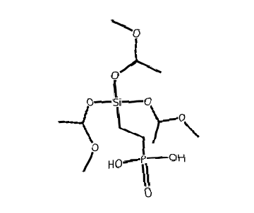 COC(C)O[Si](CCP(=O)(O)O)(OC(C)OC)OC(C)OC